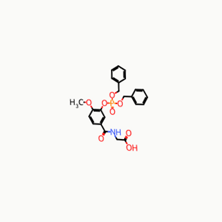 COc1ccc(C(=O)NCC(=O)O)cc1OP(=O)(OCc1ccccc1)OCc1ccccc1